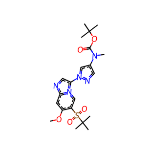 COc1cc2ncc(-n3cc(N(C)C(=O)OC(C)(C)C)cn3)n2cc1S(=O)(=O)C(C)(C)C